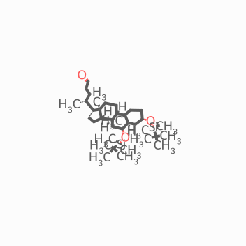 C[C@H](CCC=O)[C@H]1CC[C@H]2[C@@H]3C[C@H](O[Si](C)(C)C(C)(C)C)[C@@H]4C[C@H](O[Si](C)(C)C(C)(C)C)CC[C@]4(C)[C@H]3CC[C@]12C